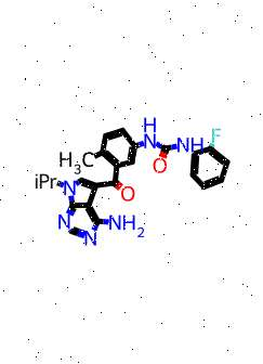 Cc1ccc(NC(=O)Nc2ccccc2F)cc1C(=O)c1cn(C(C)C)c2ncnc(N)c12